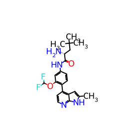 Cc1cc2c(-c3ccc(NC(=O)[C@H](N)CC(C)(C)C)cc3OC(F)F)ccnc2[nH]1